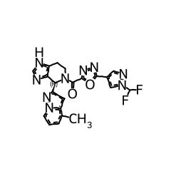 Cc1cccn2nc([C@H]3c4nc[nH]c4CCN3C(=O)c3nnc(-c4cnn(C(F)F)c4)o3)cc12